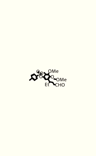 CCC(CCC=O)c1cc(OS(=O)(=O)c2ccc(C)cc2)c(C)c(OC)c1OCOC